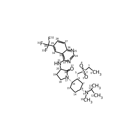 CCS(=O)(=O)C[C@@H]1C[C@H](N(C)C(C)C)CC[C@@H]1N1CCC(Nc2ncnc3ccc(C(F)(F)F)cc23)C1=O